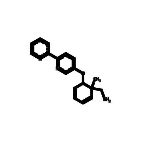 CC1(CN)C=CC=CC1Oc1ccc(-c2ccccn2)nc1